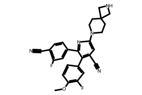 COc1ccc(-c2c(C#N)cc(N3CCC4(CC3)CNC4)nc2-c2ccc(C#N)c(F)c2)cc1F